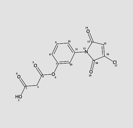 O=C(O)CC(=O)Oc1cccc(N2C(=O)C=C(Cl)C2=O)c1